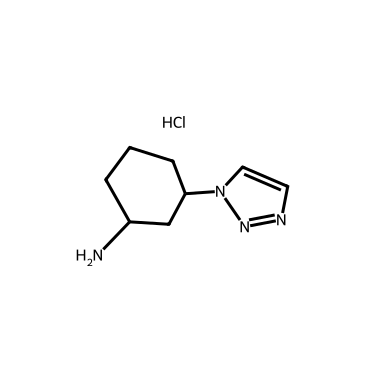 Cl.NC1CCCC(n2ccnn2)C1